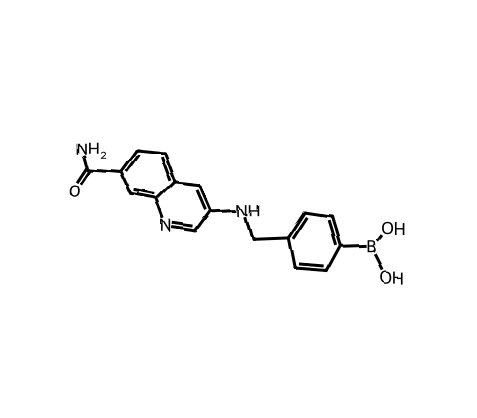 NC(=O)c1ccc2cc(NCc3ccc(B(O)O)cc3)cnc2c1